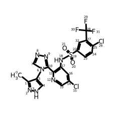 Cc1n[nH]cc1-n1cnnc1-c1ncc(Cl)cc1NS(=O)(=O)c1ccc(Cl)c(C(F)(F)F)c1